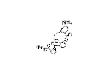 CC(C)(C)OC(=O)[C@@H]1CCCN1C(=O)c1cccc2c1OCCCc1cc(N)ccc1C(=O)O2